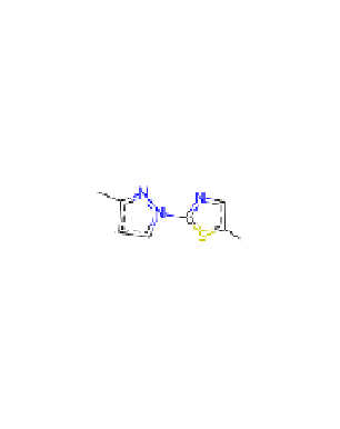 Cc1[c]cn(-c2ncc(C)s2)n1